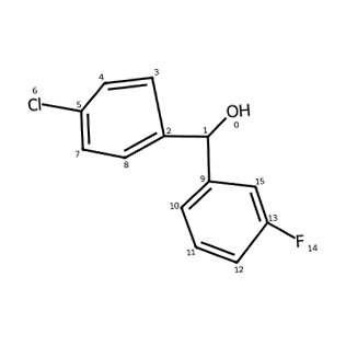 OC(c1ccc(Cl)cc1)c1cccc(F)c1